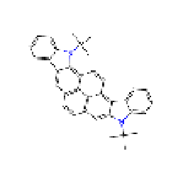 CC(C)(C)n1c2ccccc2c2c3ccc4c5c(ccc(cc21)c35)cc1c2ccccc2n(C(C)(C)C)c14